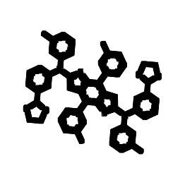 Cc1cccc(-c2c3cc(N(c4cccc(C)c4)c4cccc(C5OCCO5)c4)sc3c(-c3cccc(C)c3)c3cc(N(c4cccc(C)c4)c4cccc(C5OCCO5)c4)sc23)c1